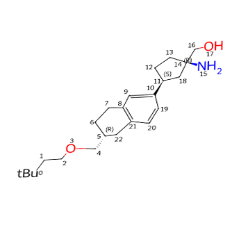 CC(C)(C)CCOC[C@@H]1CCc2cc([C@H]3CC[C@](N)(CO)C3)ccc2C1